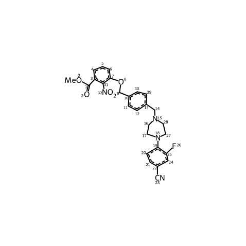 COC(=O)c1cccc(OCc2ccc(CN3CCN(c4ccc(C#N)cc4F)CC3)cc2)c1[N+](=O)[O-]